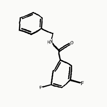 O=C(NCc1ccccc1)c1cc(F)cc(F)c1